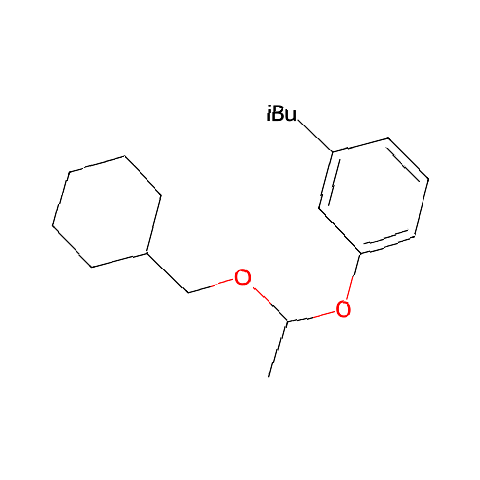 CCC(C)c1cccc(OC(C)OCC2CCCCC2)c1